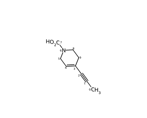 CC#CC1=CCN(C(=O)O)CC1